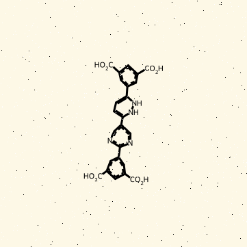 O=C(O)c1cc(C(=O)O)cc(C2=CC=C(c3cnc(-c4cc(C(=O)O)cc(C(=O)O)c4)nc3)NN2)c1